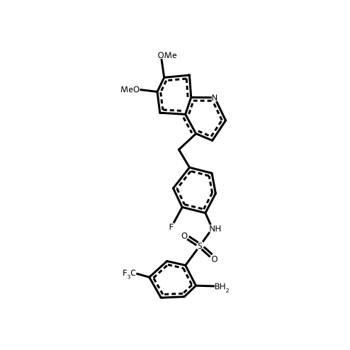 Bc1ccc(C(F)(F)F)cc1S(=O)(=O)Nc1ccc(Cc2ccnc3cc(OC)c(OC)cc23)cc1F